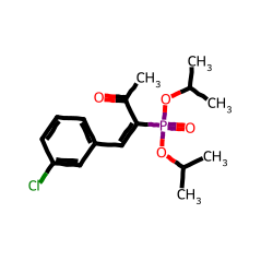 CC(=O)C(=Cc1cccc(Cl)c1)P(=O)(OC(C)C)OC(C)C